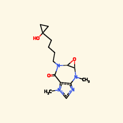 CN1c2ncn(C)c2C(=O)N(CCCCC2(O)CC2)C2OC21